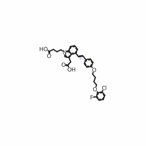 O=C(O)CCCn1cc(CC(=O)O)c2c(/C=C/c3ccc(OCCCCOc4c(F)cccc4Cl)cc3)cccc21